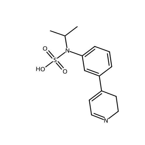 CC(C)N(c1cccc(C2=CC=NCC2)c1)S(=O)(=O)O